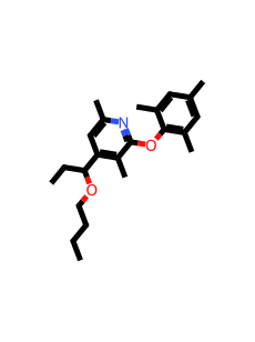 CCCCOC(CC)c1cc(C)nc(Oc2c(C)cc(C)cc2C)c1C